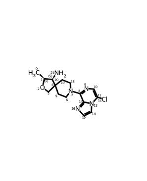 C[C@@H]1OCC2(CCN(c3ncc(Cl)n4ccnc34)CC2)[C@@H]1N